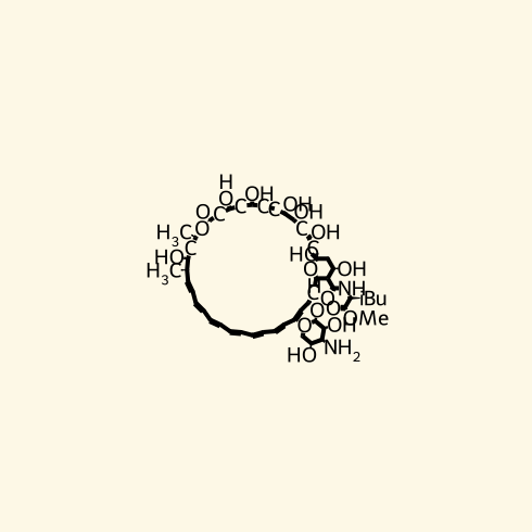 CC[C@H](C)C(NC(=O)C1[C@@H]2CC(O[C@@H]3OC[C@@H](O)[C@H](N)[C@@H]3O)/C=C/C=C/C=C/C=C/C=C/C=C/C=C/[C@H](C)[C@@H](O)C[C@H](C)OC(=O)CC(O)CC(O)CC[C@@H](O)C(O)CC(O)CC(O)(C[C@@H]1O)O2)C(=O)OC